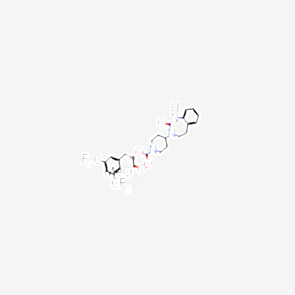 COC(=O)[C@@H](Cc1cc(C(F)(F)F)cc(C(F)(F)F)c1)OC(=O)N1CCC(N2CCc3ccccc3NC2=O)CC1